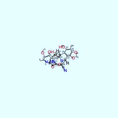 COc1c(C)cc2c(c1O)C1[C@@H]3[C@@H]4SCC(N)C(=O)OC[C@@H](c5c6c(c(C)c(O)c54)OCO6)N3[C@@H](C#N)C(C2)N1C